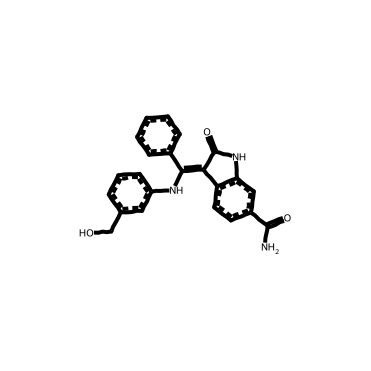 NC(=O)c1ccc2c(c1)NC(=O)C2=C(Nc1cccc(CO)c1)c1ccccc1